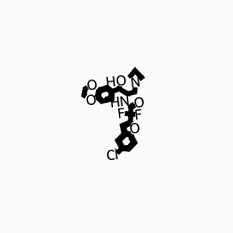 O=C(NC(CN1CCC1)C(O)c1ccc2c(c1)OCCO2)C(F)(F)c1cc2cc(Cl)ccc2o1